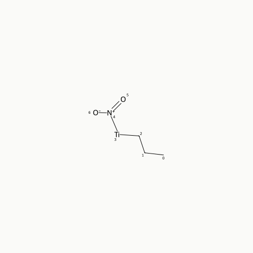 CC[CH2][Ti][N+](=O)[O-]